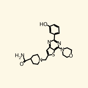 NC(=O)C1CCN(Cc2cc3nc(-c4cccc(O)c4)nc(N4CCOCC4)c3s2)CC1